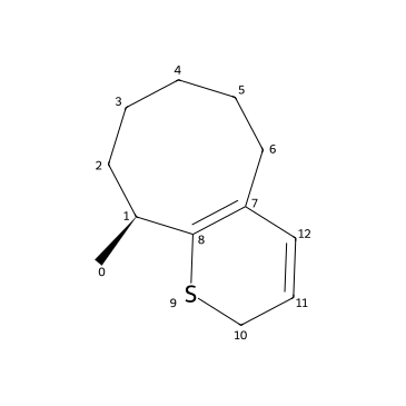 C[C@H]1CCCCCC2=C1SCC=C2